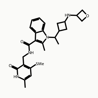 CSc1cc(C)[nH]c(=O)c1CNC(=O)c1c(C)n(C(C)C2CC(NC3COC3)C2)c2ccccc12